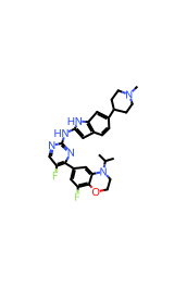 CC(C)N1CCOc2c(F)cc(-c3nc(Nc4cc5ccc(C6CCN(C)CC6)cc5[nH]4)ncc3F)cc21